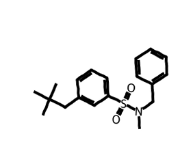 CN(Cc1ccccc1)S(=O)(=O)c1cccc(CC(C)(C)C)c1